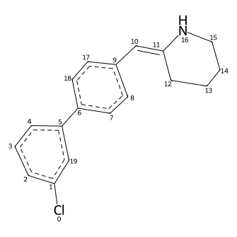 Clc1cccc(-c2ccc(C=C3CCCCN3)cc2)c1